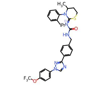 CC(C)c1ccccc1N1/C(=N/C(=O)NCc2ccc(-c3ncn(-c4ccc(OC(F)(F)F)cc4)n3)cc2)SCCC1C